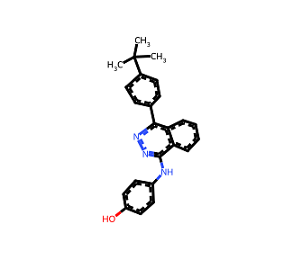 CC(C)(C)c1ccc(-c2nnc(Nc3ccc(O)cc3)c3ccccc23)cc1